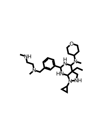 CCC12CNN(C3CC3)C1NC(c1cccc(CN(C)CCNC)c1)NC2N(C)C1CCOCC1